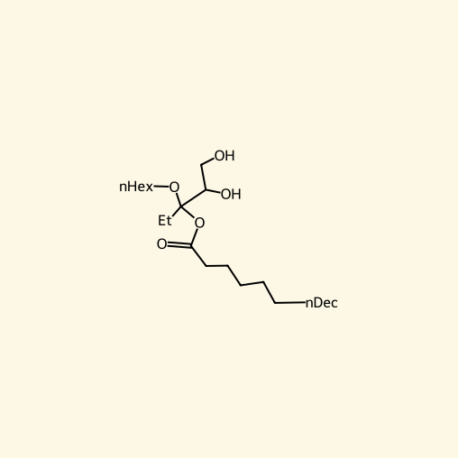 CCCCCCCCCCCCCCCC(=O)OC(CC)(OCCCCCC)C(O)CO